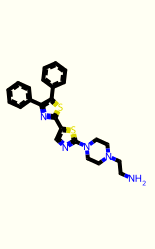 NCCN1CCN(c2ncc(-c3nc(-c4ccccc4)c(-c4ccccc4)s3)s2)CC1